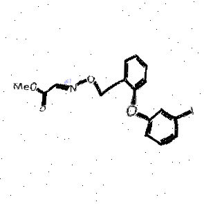 COC(=O)/C=N/OCc1ccccc1Oc1cccc(I)c1